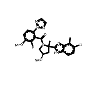 COc1ccc(-n2nccn2)c(C(=O)N2C[C@H](OC)CC2(C)c2nc3c(C)c(Cl)ccc3[nH]2)c1F